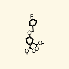 COC(=O)c1ccc(OCc2ccc(F)cc2)cc1C(=O)OC